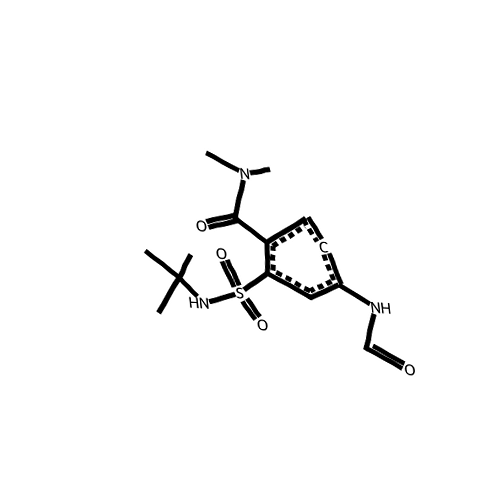 CN(C)C(=O)c1ccc(NC=O)cc1S(=O)(=O)NC(C)(C)C